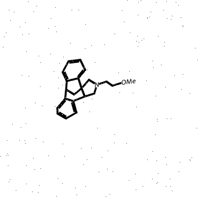 COCCN1CC2c3ccccc3C3CC2(C1)c1ccccc13